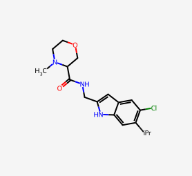 CC(C)c1cc2[nH]c(CNC(=O)C3COCCN3C)cc2cc1Cl